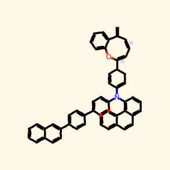 C=C1/C=C\C=C(\C2C=CC(N(c3ccc(-c4ccc(-c5ccc6ccccc6c5)cc4)cc3)c3cccc4ccc5ccccc5c34)=CC2)Oc2ccccc21